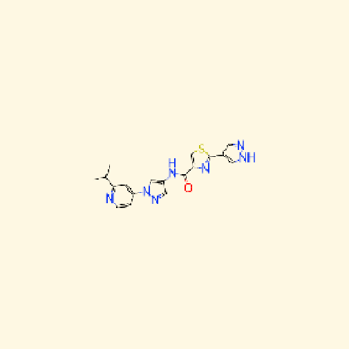 CC(C)c1cc(-n2cc(NC(=O)c3csc(-c4cn[nH]c4)n3)cn2)ccn1